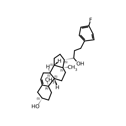 C[C@]12CC[C@H]3[C@@H](CC=C4C[C@@H](O)CC[C@@]43C)[C@@H]1CC[C@@H]2C(O)CCc1ccc(F)cc1